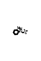 CS(C)(C)Cn1nnc2ccccc21